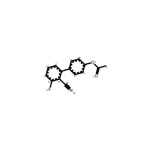 CC(=O)Oc1ccc(-c2cccc(F)c2C#N)cc1